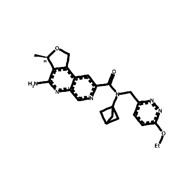 CCOc1ccc(CN(C(=O)c2cc3c4c(c(N)nc3cn2)[C@@H](C)OC4)C23CC(C2)C3)nn1